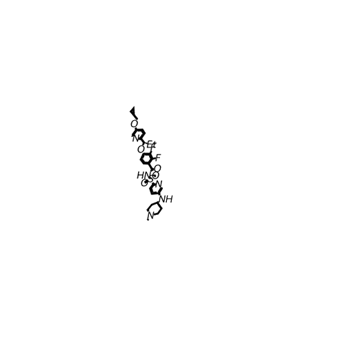 CC[C@@H](Oc1ccc(C(=O)NS(=O)(=O)c2ccc(NC3CCN(C)CC3)cn2)c(F)c1F)c1ccc(OCC2CC2)cn1